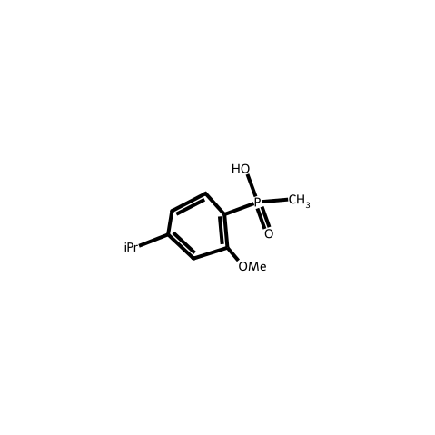 COc1cc(C(C)C)ccc1P(C)(=O)O